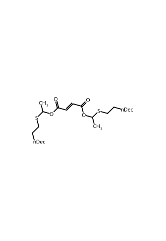 CCCCCCCCCCCCSC(C)OC(=O)C=CC(=O)OC(C)SCCCCCCCCCCCC